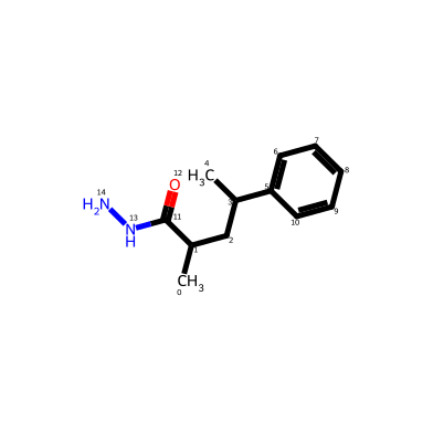 CC(CC(C)c1ccccc1)C(=O)NN